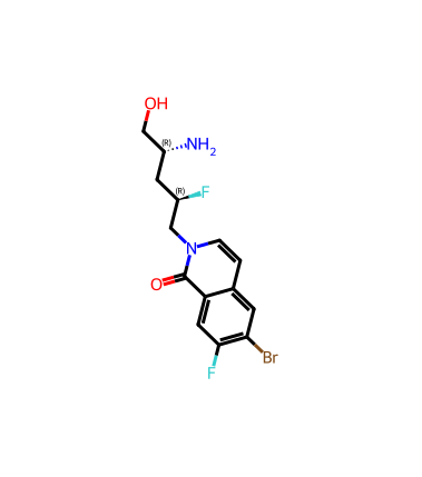 N[C@@H](CO)C[C@@H](F)Cn1ccc2cc(Br)c(F)cc2c1=O